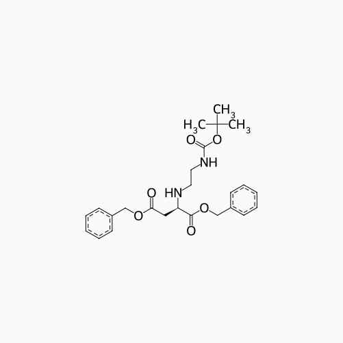 CC(C)(C)OC(=O)NCCN[C@H](CC(=O)OCc1ccccc1)C(=O)OCc1ccccc1